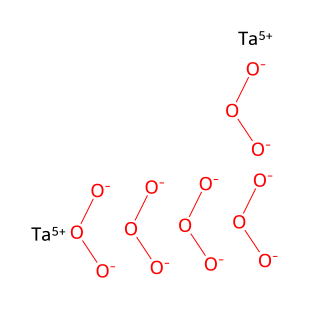 [O-]O[O-].[O-]O[O-].[O-]O[O-].[O-]O[O-].[O-]O[O-].[Ta+5].[Ta+5]